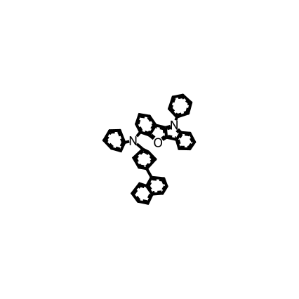 c1ccc(N(c2ccc(-c3cccc4ccccc34)cc2)c2cccc3c2oc2c4ccccc4n(-c4ccccc4)c32)cc1